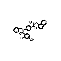 CN(Cc1cccc2cnccc12)C(=O)c1ccc(N(Cc2ccccc2)C(=O)c2ccc(O)cc2O)cc1